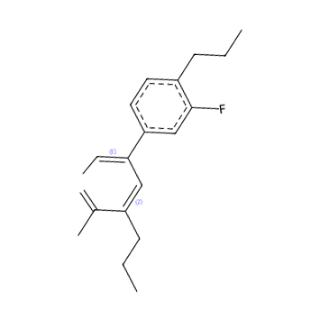 C=C(C)/C(=C\C(=C/C)c1ccc(CCC)c(F)c1)CCC